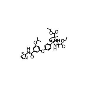 CCOC(=O)C(C)(C)NP(=O)(NC(C)(C)C(=O)OCC)c1ccc(Oc2cc(OC(C)C)cc(C(=O)Nc3nccs3)c2)cc1